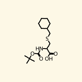 CC(C)(C)OC(=O)NC(CSCC1CCCCC1)C(=O)O